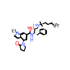 CCn1ccc2c(N3CCCC3=O)cc(C(=O)N[C@@H](Cc3ccccc3)[C@@H](O)CNC(C)(C)CCCC(C)C)cc21